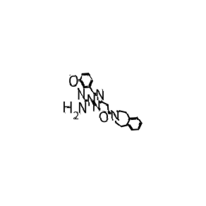 COc1cccc2c1nc(N)n1nc(CC(=O)N3CCc4ccccc4CC3)nc21